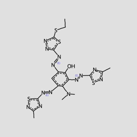 CCSc1nnc(/N=N/c2cc(/N=N/c3nc(C)ns3)c(N(C)C)c(/N=N/c3nc(C)ns3)c2O)s1